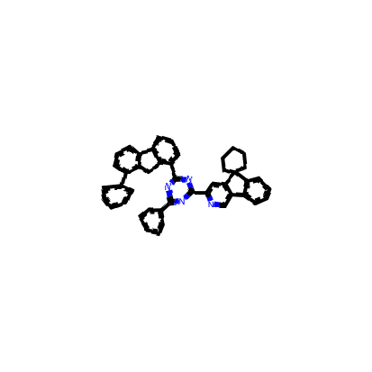 c1ccc(-c2nc(-c3cc4c(cn3)-c3ccccc3C43CCCCC3)nc(-c3cccc4c3Cc3c(-c5ccccc5)cccc3-4)n2)cc1